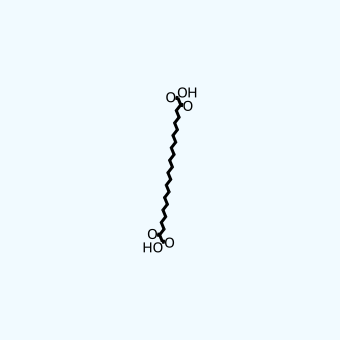 O=C(O)C(=O)CCCCCCCCCCCCCCCCCCCCC(=O)C(=O)O